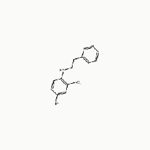 CC(C)c1ccc(NCCc2cccnc2)c([N+](=O)[O-])c1